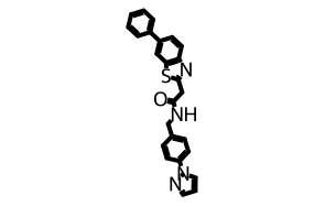 O=C(Cc1nc2ccc(-c3ccccc3)cc2s1)NCc1ccc(-n2cccn2)cc1